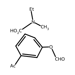 CC(=O)c1cccc(OC=O)c1.CCN(C)C(=O)O